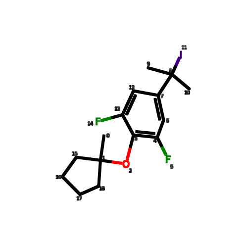 CC1(Oc2c(F)cc(C(C)(C)I)cc2F)CCCC1